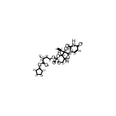 C#C[C@@]1(O)[C@@H]2O[P@@](=O)(OCC[C@H](C)C(=O)OC3CCCC3)OC[C@H]2O[C@H]1n1ccc(=O)[nH]c1=O